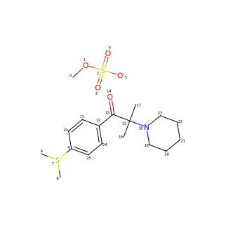 COS(=O)(=O)[O-].C[S+](C)c1ccc(C(=O)C(C)(C)N2CCCCC2)cc1